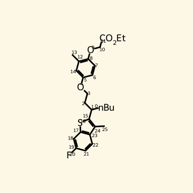 CCCCC(CCOc1ccc(OCC(=O)OCC)c(C)c1)c1sc2cc(F)ccc2c1C